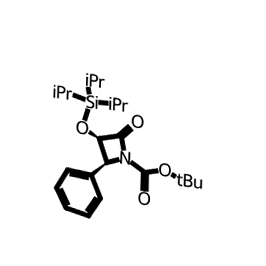 CC(C)[Si](O[C@H]1C(=O)N(C(=O)OC(C)(C)C)[C@H]1c1ccccc1)(C(C)C)C(C)C